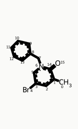 Cc1cc(Br)cn(Cc2ccccc2)c1=O